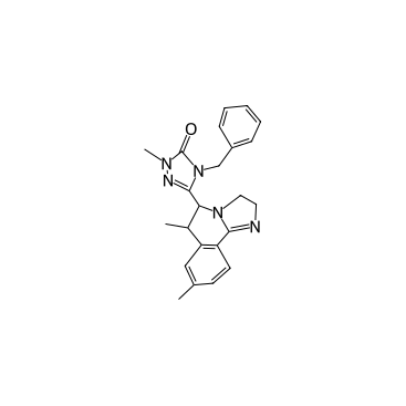 Cc1ccc2c(c1)C(C)C(c1nn(C)c(=O)n1Cc1ccccc1)N1CCN=C21